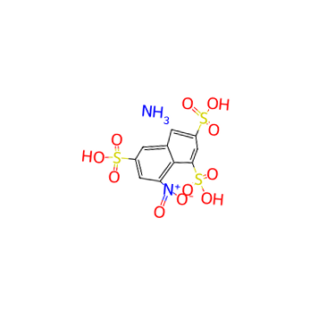 N.O=[N+]([O-])c1cc(S(=O)(=O)O)cc2cc(S(=O)(=O)O)cc(S(=O)(=O)O)c12